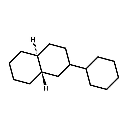 C1CCC(C2CC[C@@H]3CCCC[C@H]3C2)CC1